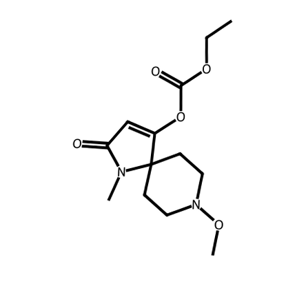 CCOC(=O)OC1=CC(=O)N(C)C12CCN(OC)CC2